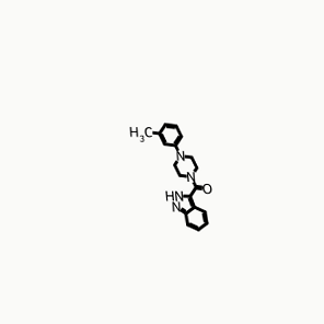 Cc1cccc(N2CCN(C(=O)c3[nH]nc4ccccc34)CC2)c1